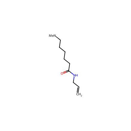 C=CCNC(=O)CCCCCNC